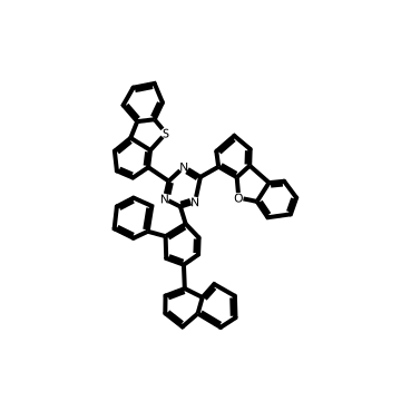 c1ccc(-c2cc(-c3cccc4ccccc34)ccc2-c2nc(-c3cccc4c3oc3ccccc34)nc(-c3cccc4c3sc3ccccc34)n2)cc1